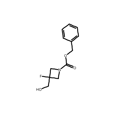 O=C(OCc1ccccc1)N1CC(F)(CO)C1